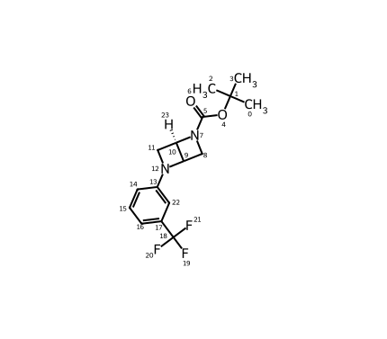 CC(C)(C)OC(=O)N1CC2[C@H]1CN2c1cccc(C(F)(F)F)c1